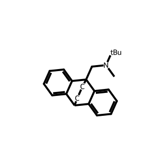 CN(CC12CCC(c3ccccc31)c1ccccc12)C(C)(C)C